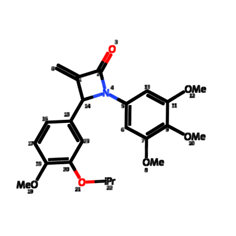 C=C1C(=O)N(c2cc(OC)c(OC)c(OC)c2)C1c1ccc(OC)c(OC(C)C)c1